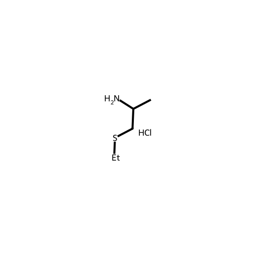 CCSCC(C)N.Cl